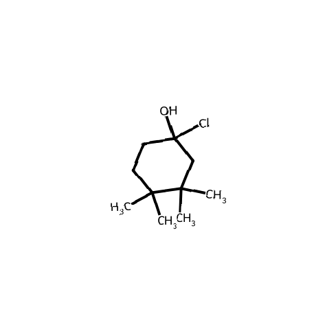 CC1(C)CCC(O)(Cl)CC1(C)C